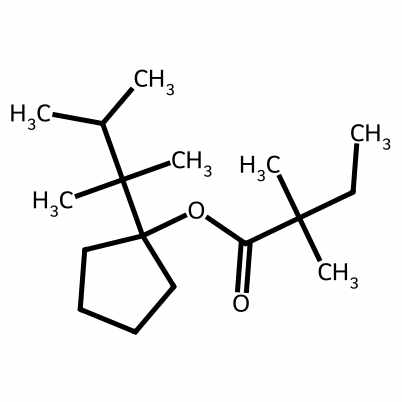 CCC(C)(C)C(=O)OC1(C(C)(C)C(C)C)CCCC1